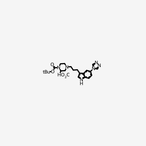 CC(C)(C)OC(=O)N1CCN(CCCc2c[nH]c3ccc(-n4cnnc4)cc23)CC1C(=O)O